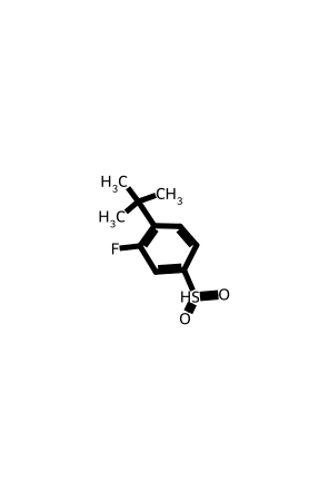 CC(C)(C)c1ccc([SH](=O)=O)cc1F